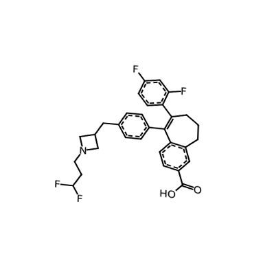 O=C(O)c1ccc2c(c1)CCCC(c1ccc(F)cc1F)=C2c1ccc(CC2CN(CCC(F)F)C2)cc1